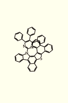 c1ccc(-c2nc(-n3c4ccccc4c4c5ccccc5c5sc6c7ccccc7c7ccccc7c6c5c43)nc(-c3ccccc3)c2-c2ccccc2)cc1